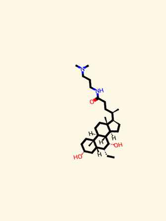 CC[C@H]1[C@@H](O)[C@@H]2[C@H](CC[C@]3(C)[C@@H]([C@H](C)CCC(=O)NCCCN(C)C)CC[C@@H]23)[C@@]2(C)CC[C@@H](O)C[C@@H]12